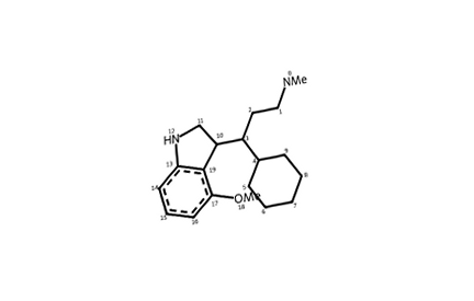 CNCCC(C1CCCCC1)C1CNc2cccc(OC)c21